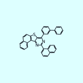 c1ccc(-c2cccc(-c3nc(-c4cccc5ccccc45)nc4c3sc3ccc5ccccc5c34)c2)cc1